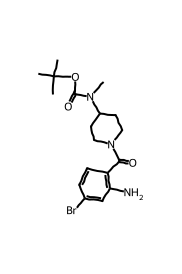 CN(C(=O)OC(C)(C)C)C1CCN(C(=O)c2ccc(Br)cc2N)CC1